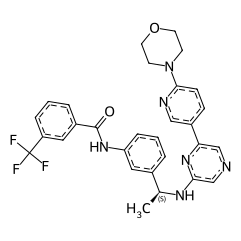 C[C@H](Nc1cncc(-c2ccc(N3CCOCC3)nc2)n1)c1cccc(NC(=O)c2cccc(C(F)(F)F)c2)c1